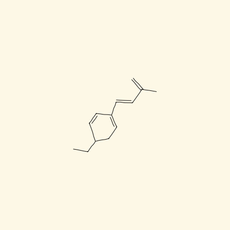 C=C(C)/C=C/C1=CCC(CC)C=C1